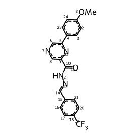 COc1ccc(-c2cncc(C(=O)N/N=C/c3ccc(C(F)(F)F)cc3)n2)cc1